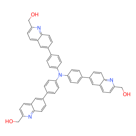 OCc1ccc2cc(-c3ccc(N(c4ccc(-c5ccc6nc(CO)ccc6c5)cc4)c4ccc(-c5ccc6nc(CO)ccc6c5)cc4)cc3)ccc2n1